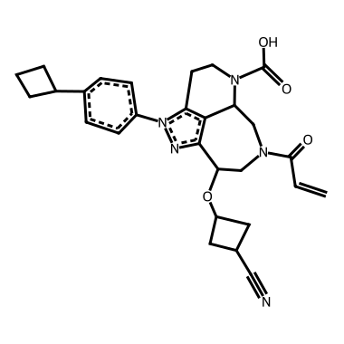 C=CC(=O)N1CC(OC2CC(C#N)C2)c2nn(-c3ccc(C4CCC4)cc3)c3c2C(C1)N(C(=O)O)CC3